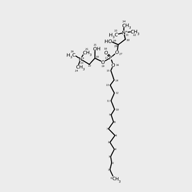 CCCCCCCCCCCCCCCCOP(=O)(OC(O)C[N+](C)(C)C)OC(O)C[N+](C)(C)C